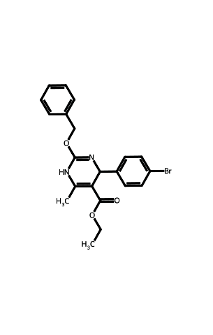 CCOC(=O)C1=C(C)NC(OCc2ccccc2)=NC1c1ccc(Br)cc1